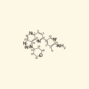 Cc1cc(-c2ccc3ncc4nnn(C5CCOCC5)c4c3n2)cnc1N